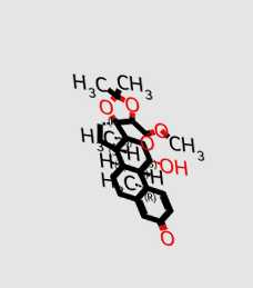 COC(=O)C1OC(C)(C)O[C@@]12CC[C@H]1[C@@H]3CCC4=CC(=O)C=C[C@]4(C)[C@H]3[C@@H](O)C[C@@]12C